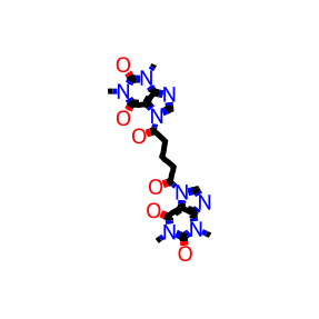 Cn1c(=O)c2c(ncn2C(=O)CCCC(=O)n2cnc3c2c(=O)n(C)c(=O)n3C)n(C)c1=O